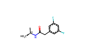 C[C@@H](NC(=O)Cc1cc(F)cc(F)c1)C(=O)O